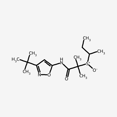 CCC(C)[S+]([O-])C(C)(C)C(=O)Nc1cc(C(C)(C)C)no1